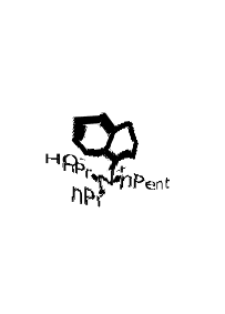 CCCCC[N+](CCC)(CCC)c1cccc2ccccc12.[OH-]